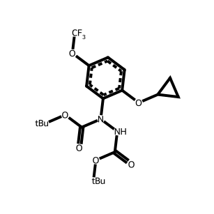 CC(C)(C)OC(=O)NN(C(=O)OC(C)(C)C)c1cc(OC(F)(F)F)ccc1OC1CC1